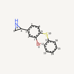 Brc1cc(C2CN2)ccc1Sc1ccccc1